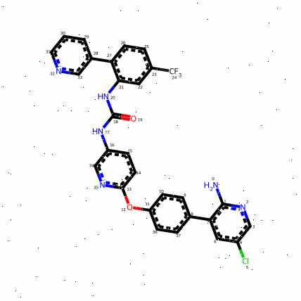 Nc1ncc(Cl)cc1-c1ccc(Oc2ccc(NC(=O)Nc3cc(C(F)(F)F)ccc3-c3cccnc3)cn2)cc1